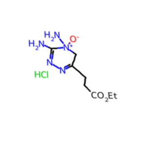 CCOC(=O)CCC1=NN=C(N)[N+](N)([O-])C1.Cl